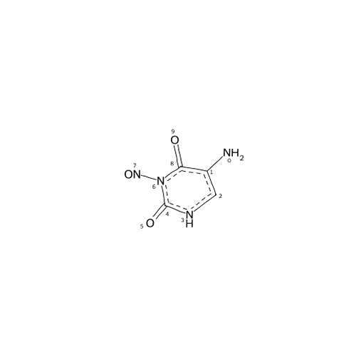 Nc1c[nH]c(=O)n(N=O)c1=O